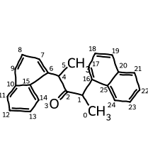 CC(C(=O)C(C)c1cccc2ccccc12)c1cccc2ccccc12